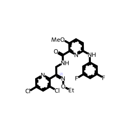 CCO/N=C(/CNC(=O)c1nc(Nc2cc(F)cc(F)c2)ccc1OC)c1ncc(Cl)cc1Cl